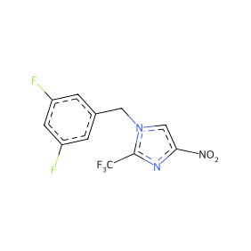 O=[N+]([O-])c1cn(Cc2cc(F)cc(F)c2)c(C(F)(F)F)n1